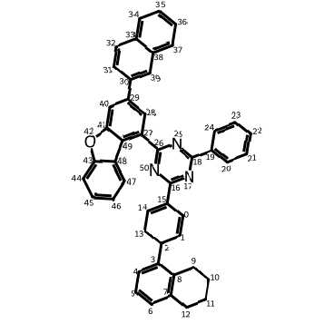 C1=CC(c2cccc3c2CCCC3)CC=C1c1nc(-c2ccccc2)nc(-c2cc(-c3ccc4ccccc4c3)cc3oc4ccccc4c23)n1